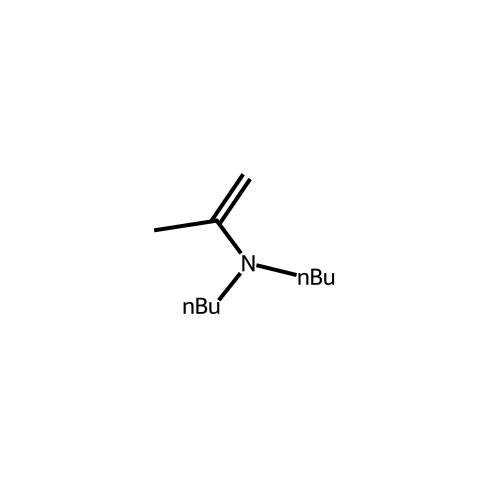 C=C(C)N(CCCC)CCCC